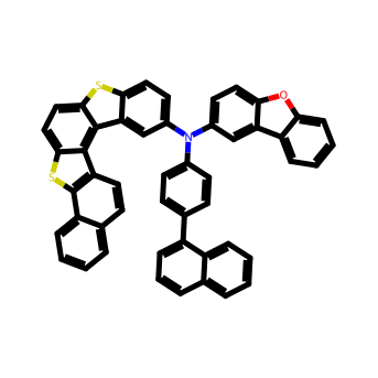 c1ccc2c(-c3ccc(N(c4ccc5oc6ccccc6c5c4)c4ccc5sc6ccc7sc8c9ccccc9ccc8c7c6c5c4)cc3)cccc2c1